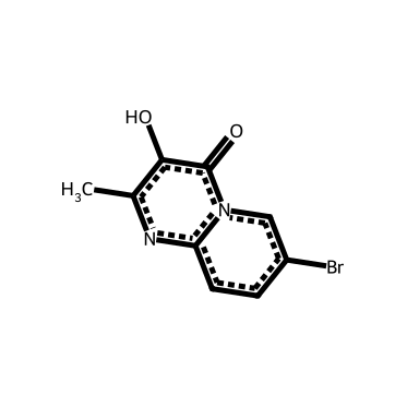 Cc1nc2ccc(Br)cn2c(=O)c1O